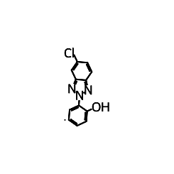 Oc1cc[c]cc1-n1nc2ccc(Cl)cc2n1